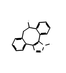 NC1Cc2ccccc2-c2nnn(S)c2-c2ccccc21